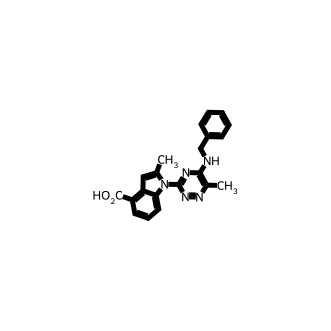 Cc1nnc(-n2c(C)cc3c(C(=O)O)cccc32)nc1NCc1ccccc1